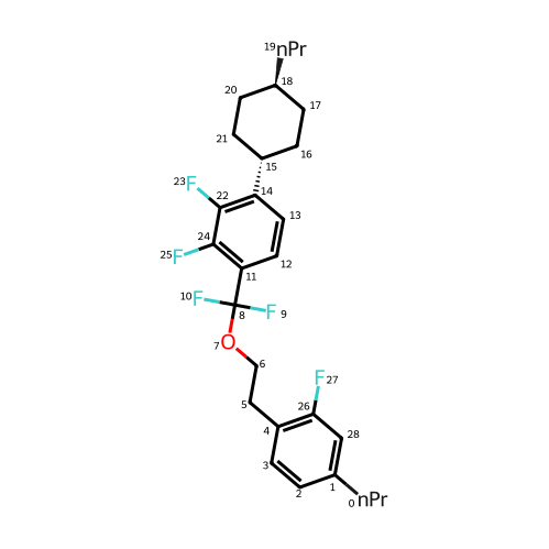 CCCc1ccc(CCOC(F)(F)c2ccc([C@H]3CC[C@H](CCC)CC3)c(F)c2F)c(F)c1